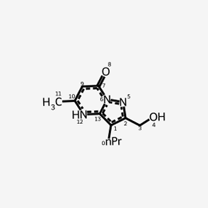 CCCc1c(CO)nn2c(=O)cc(C)[nH]c12